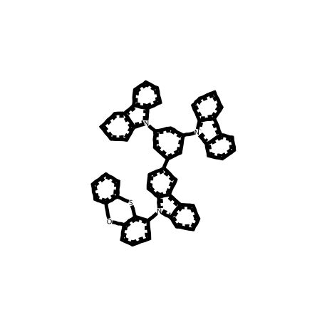 c1ccc2c(c1)Oc1cccc(-n3c4ccccc4c4cc(-c5cc(-n6c7ccccc7c7ccccc76)cc(-n6c7ccccc7c7ccccc76)c5)ccc43)c1S2